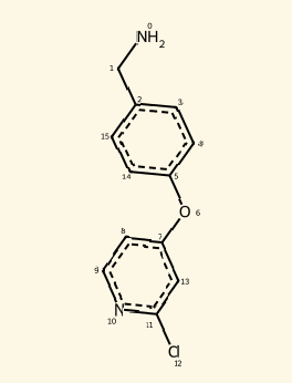 NCc1ccc(Oc2ccnc(Cl)c2)cc1